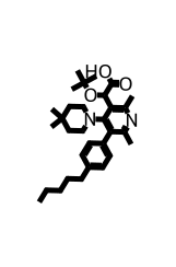 CCCCCc1ccc(-c2c(C)nc(C)c(C(OC(C)(C)C)C(=O)O)c2N2CCC(C)(C)CC2)cc1